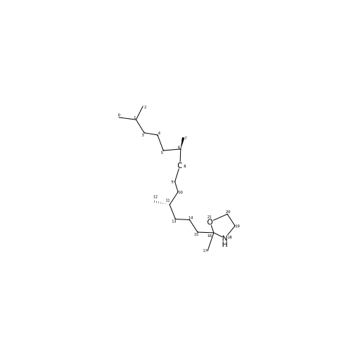 CC(C)CCC[C@@H](C)CCC[C@@H](C)CCCC1(C)NCCO1